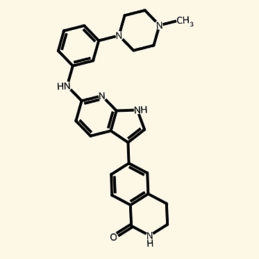 CN1CCN(c2cccc(Nc3ccc4c(-c5ccc6c(c5)CCNC6=O)c[nH]c4n3)c2)CC1